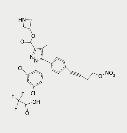 Cc1c(C(=O)OC2CNC2)nn(-c2ccc(Cl)cc2Cl)c1-c1ccc(C#CCCO[N+](=O)[O-])cc1.O=C(O)C(F)(F)F